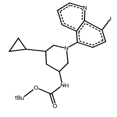 CC(C)(C)OC(=O)NC1CC(C2CC2)CN(c2ccc(I)c3ncccc23)C1